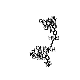 Cc1ncsc1-c1ccc([C@H](CC(=O)NCCCCCCNC(=O)c2ccc(-c3ccc(N4C[C@@H](C)N(C)[C@@H](C)C4)c(NC(=O)c4c[nH]c(=O)cc4C(F)(F)F)c3)c(F)c2)NC(=O)[C@@H]2C[C@@H](O)CN2C(=O)[C@@H](NC(=O)C2(F)CC2)C(C)(C)C)cc1